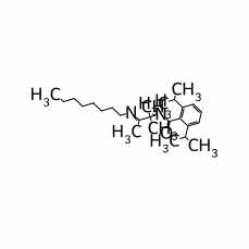 CCCCCCCCN=C(C)C(C)(C)NC(=O)c1c(C(C)C)cccc1C(C)C